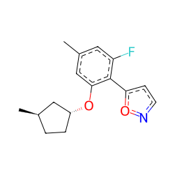 Cc1cc(F)c(-c2ccno2)c(O[C@@H]2CC[C@@H](C)C2)c1